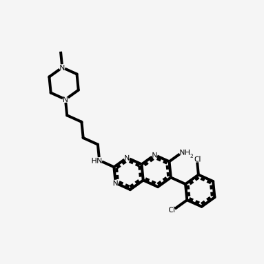 CN1CCN(CCCCNc2ncc3cc(-c4c(Cl)cccc4Cl)c(N)nc3n2)CC1